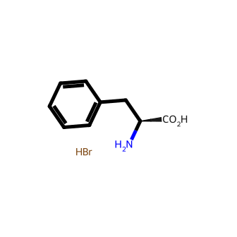 Br.N[C@@H](Cc1ccccc1)C(=O)O